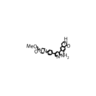 COCC(=O)N1CCN(c2ccc(-c3cnc(N)c(-c4cc5c(cc4F)C(=O)NCC5)c3)cc2)CC1